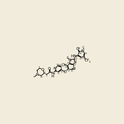 CN1CCO[C@@H](CC(=O)Nc2cc(Oc3cnc4nc(Nc5cc(C(F)(F)F)cn(C)c5=O)n(C)c4c3Cl)ccn2)C1